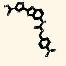 O=C(Nc1ccc2nc(C3=N[C@@H](C(=O)O)CS3)sc2c1)OCc1ccc([N+](=O)[O-])cc1